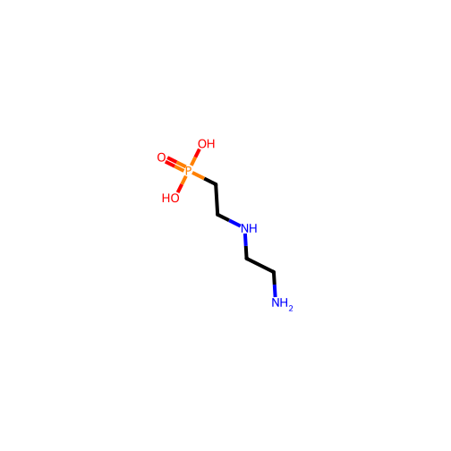 NCCNCCP(=O)(O)O